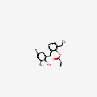 C=CC(=O)Oc1c(Cc2cc(C)cc(C(C)(C)C)c2O)cccc1CC(C)(C)C